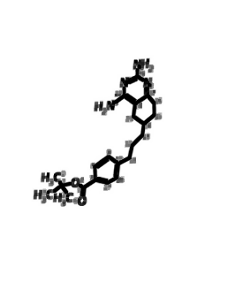 CC(C)(C)OC(=O)c1ccc(CCCC2CCc3nc(N)nc(N)c3C2)cc1